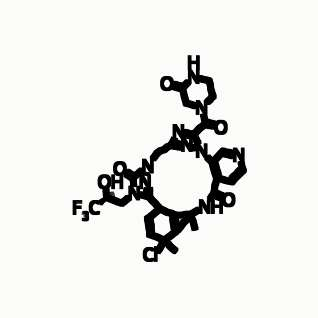 CC1(Cl)C=CC2C3=C1C3(C)NC(=O)c1ccncc1-n1nc(nc1C(=O)N1CCNC(=O)C1)Cn1nc2n(C[C@H](O)C(F)(F)F)c1=O